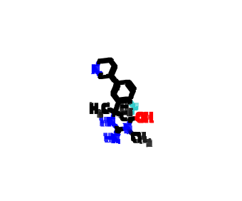 CN(CO)C(=N)NC(C)(C)c1cc(-c2cccnc2)ccc1F